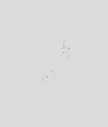 CC(C)(C)c1cc(NC(=O)Cc2ccc(-c3cnc4[nH]c(=O)oc4c3)cc2)no1